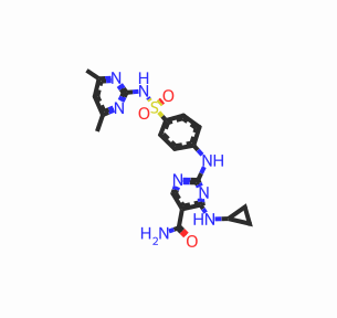 Cc1cc(C)nc(NS(=O)(=O)c2ccc(Nc3ncc(C(N)=O)c(NC4CC4)n3)cc2)n1